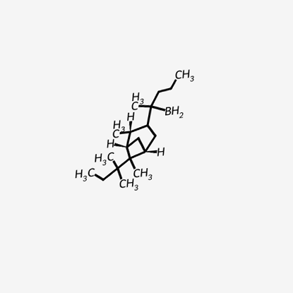 BC(C)(CCC)C1C[C@H]2C[C@@H]([C@@H]1C)C2(C)C(C)(C)CC